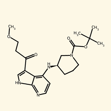 COCCC(=O)c1c[nH]c2nccc(N[C@@H]3CCCN(C(=O)OC(C)(C)C)C3)c12